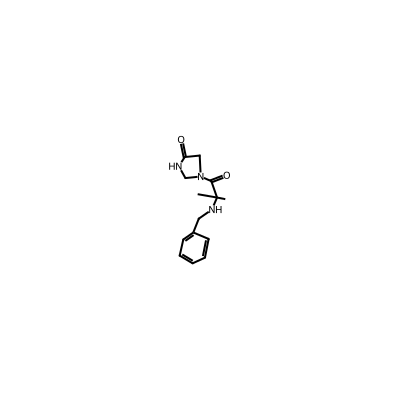 CC(C)(NCc1ccccc1)C(=O)N1CNC(=O)C1